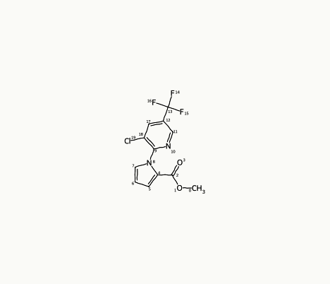 COC(=O)c1cccn1-c1ncc(C(F)(F)F)cc1Cl